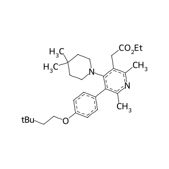 CCOC(=O)Cc1c(C)nc(C)c(-c2ccc(OCCC(C)(C)C)cc2)c1N1CCC(C)(C)CC1